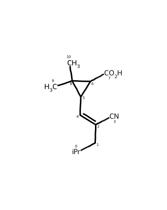 CC(C)C/C(C#N)=C/C1C(C(=O)O)C1(C)C